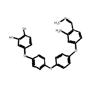 C/N=C\c1ccc(Oc2ccc(Sc3ccc(Oc4ccc(C#N)c(C#N)c4)cc3)cc2)cc1N